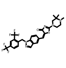 CN1CCN(C2=NC(=O)/C(=C\c3ccc4c(cnn4Cc4ccc(C(F)(F)F)cc4C(F)(F)F)c3)S2)CC1(C)C